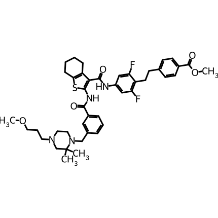 COCCCN1CCN(Cc2cccc(C(=O)Nc3sc4c(c3C(=O)Nc3cc(F)c(CCc5ccc(C(=O)OC)cc5)c(F)c3)CCCC4)c2)C(C)(C)C1